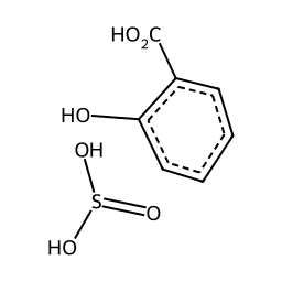 O=C(O)c1ccccc1O.O=S(O)O